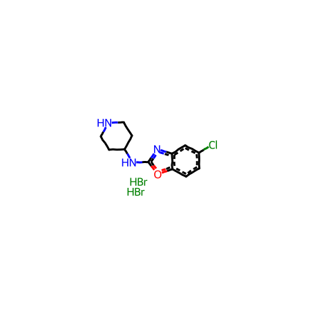 Br.Br.Clc1ccc2oc(NC3CCNCC3)nc2c1